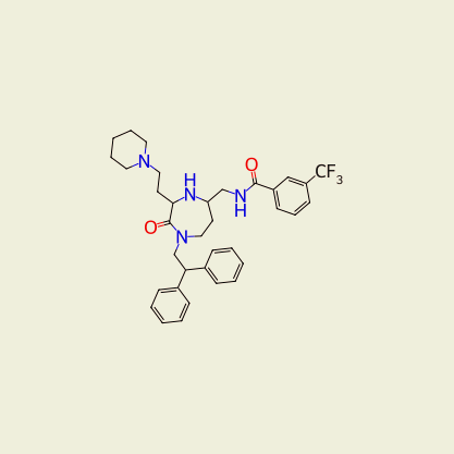 O=C(NCC1CCN(CC(c2ccccc2)c2ccccc2)C(=O)C(CCN2CCCCC2)N1)c1cccc(C(F)(F)F)c1